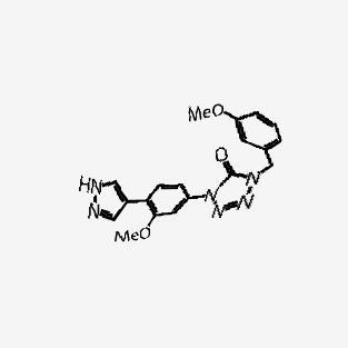 COc1cccc(Cn2nnn(-c3ccc(-c4cn[nH]c4)c(OC)c3)c2=O)c1